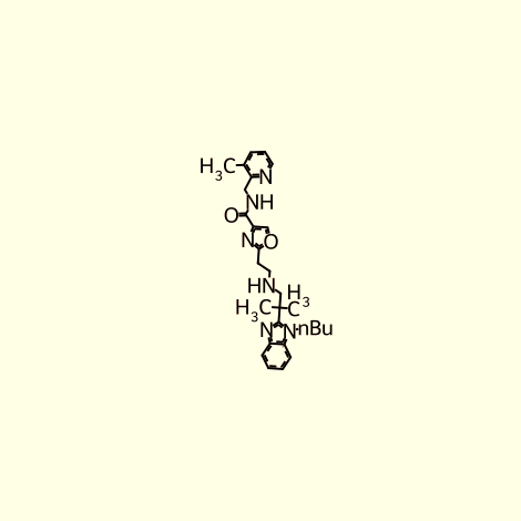 CCCCn1c(C(C)(C)CNCCc2nc(C(=O)NCc3ncccc3C)co2)nc2ccccc21